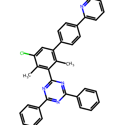 Cc1c(Cl)cc(-c2ccc(-c3ccccn3)cc2)c(C)c1-c1nc(-c2ccccc2)nc(-c2ccccc2)n1